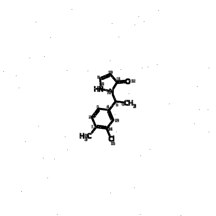 Cc1ccc(C(C)n2[nH]ccc2=O)cc1Cl